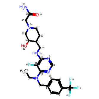 CCN(Cc1ccc(C(F)(F)F)cc1)c1ncnc(NCC2CCN(CC(N)=O)C[C@@H]2O)c1F